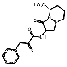 O=C(N[C@@H]1CN2CCC[C@@H](C(=O)O)N2C1=O)C(=S)Cc1ccccc1